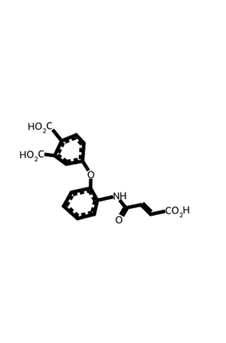 O=C(O)/C=C/C(=O)Nc1ccccc1Oc1ccc(C(=O)O)c(C(=O)O)c1